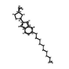 CCCCCCCCCCc1ccc2oc(N3CC[C@@H](N)C3)nc2c1